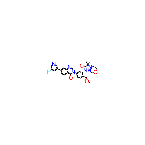 COCc1ccc(-n2cnc3cc(-c4cncc(F)c4)ccc3c2=O)cc1NC(=O)C1(N2CCOCC2)CC1